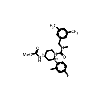 COC(=O)N[C@@H]1CCN(C(=O)N(C)Cc2cc(C(F)(F)F)cc(C(F)(F)F)c2)[C@@H](c2ccc(F)cc2C)C1